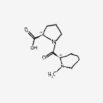 CN1CCC[C@@H]1C(=O)N1CCC[C@@H]1C(=O)O